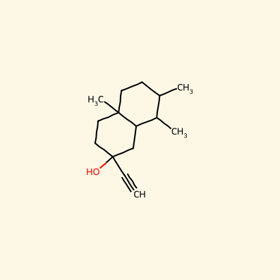 C#CC1(O)CCC2(C)CCC(C)C(C)C2C1